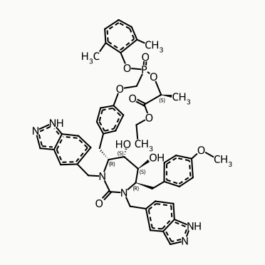 CCOC(=O)[C@H](C)OP(=O)(COc1ccc(C[C@@H]2[C@H](O)[C@@H](O)[C@@H](Cc3ccc(OC)cc3)N(Cc3ccc4[nH]ncc4c3)C(=O)N2Cc2ccc3[nH]ncc3c2)cc1)Oc1c(C)cccc1C